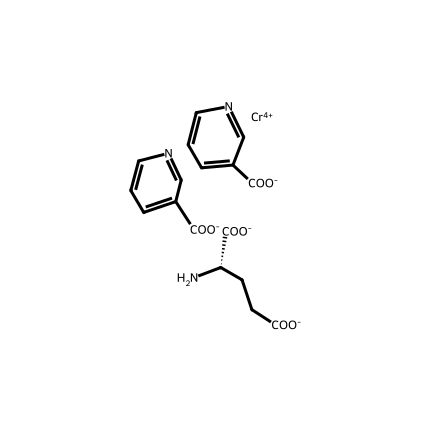 N[C@@H](CCC(=O)[O-])C(=O)[O-].O=C([O-])c1cccnc1.O=C([O-])c1cccnc1.[Cr+4]